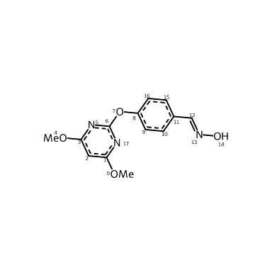 COc1cc(OC)nc(Oc2ccc(C=NO)cc2)n1